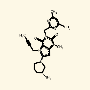 CC#CCn1c(N2CCC[C@@H](N)C2)cc2c1c(=O)n(Cc1nc(C)cc(C)n1)c(=O)n2C